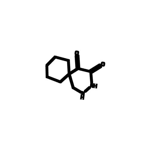 O=C1NNCC2(CCCCC2)C1=O